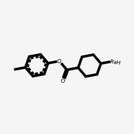 Cc1ccc(OC(=O)C2CC[CH]([RaH])CC2)cc1